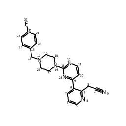 N#CCc1ncccc1-c1ccnc(N2CCN(Cc3ccc(F)cc3)CC2)n1